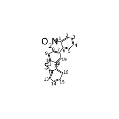 O=[N+]([O-])c1ccccc1-c1ccc2sc3ccccc3c2c1